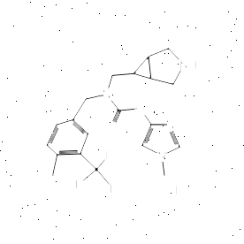 Cl.Cn1cnc(OC(=O)N(Cc2ccc(F)c(C(F)(F)F)c2)CC2C3CNCC32)c1